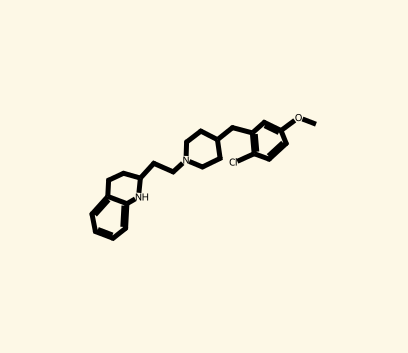 COc1ccc(Cl)c(CC2CCN(CCC3CCc4ccccc4N3)CC2)c1